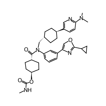 CNC(=O)O[C@H]1CC[C@H](C(=O)N(C[C@H]2CC[C@H](c3ccc(N(C)C)nc3)CC2)c2cccc(-c3coc(C4CC4)n3)c2)CC1